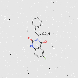 O=C(O)C(CC1CCCCC1)n1c(=O)[nH]c2ccc(F)cc2c1=O